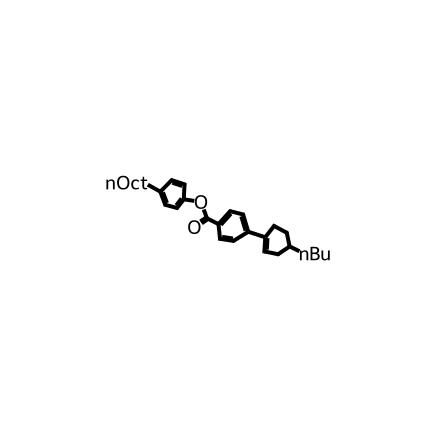 CCCCCCCCc1ccc(OC(=O)c2ccc(C3=CCC(CCCC)CC3)cc2)cc1